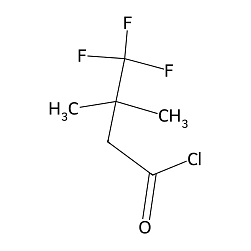 CC(C)(CC(=O)Cl)C(F)(F)F